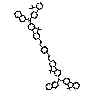 CC1(C)c2ccccc2-c2ccc(N(c3ccc4c(c3)C(C)(C)c3cc(/C=C/c5ccc(/C=C/c6ccc7c(c6)C(C)(C)c6cc(N(c8ccc9c(c8)C(C)(C)c8ccccc8-9)c8ccc9ccccc9c8)ccc6-7)cc5)ccc3-4)c3ccc4ccccc4c3)cc21